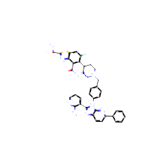 NC(=O)c1nc2c(C(N)=O)c(C3CCN(Cc4ccc(-n5c(-c6cccnc6N)nc6ccc(-c7ccccc7)nc65)cc4)CC3)c(F)cc2s1